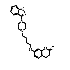 O=C1CCc2ccc(OCCCCN3CCN(c4nsc5ccccc45)CC3)cc2O1